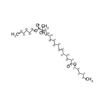 CCCCCCOC(=O)CCCCCCCCCCCCCC(C)(C)C(=O)OCCCCCC